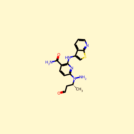 C[C@H](CC=O)N(N)c1ccc(C(N)=O)c(Nc2csc3ncccc23)n1